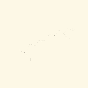 COC(=O)CCCCCCCC(C)S(=O)(=O)O